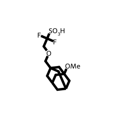 COC12CC3CC(CC(COCC(F)(F)S(=O)(=O)O)(C3)C1)C2